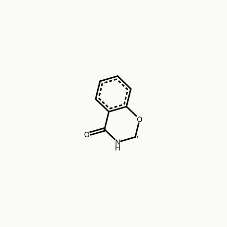 O=C1N[C]Oc2ccccc21